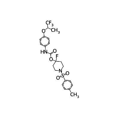 Cc1ccc(S(=O)(=O)N2CCC(F)(OC(=O)Nc3ccc(OC(C)C(F)(F)F)cc3)CC2)cc1